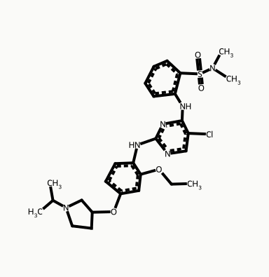 CCOc1cc(OC2CCN(C(C)C)C2)ccc1Nc1ncc(Cl)c(Nc2ccccc2S(=O)(=O)N(C)C)n1